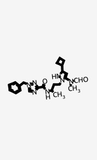 CC(CCN1NC(C2CCC2)C=C1N(C)C=O)NC(=O)c1ncn(Cc2ccccc2)n1